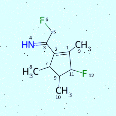 CC1=C(C(=N)CF)C(C)C(C)C1F